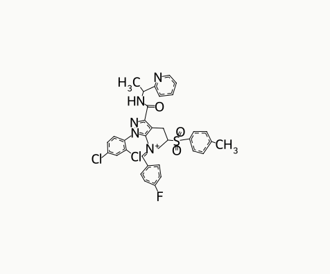 Cc1ccc(S(=O)(=O)C2Cc3c(C(=O)NC(C)c4ccccn4)nn(-c4ccc(Cl)cc4Cl)c3/[N+](=C/c3ccc(F)cc3)C2)cc1